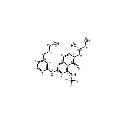 CC(C)(C)Nc1nc(Nc2cc(OCCO)ncn2)cc2ccn(C[C@H](O)CO)c(=O)c12